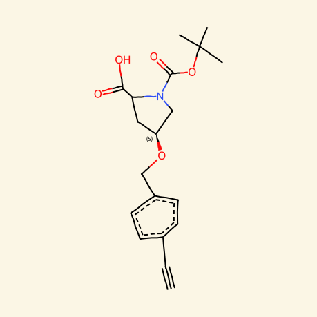 C#Cc1ccc(CO[C@H]2CC(C(=O)O)N(C(=O)OC(C)(C)C)C2)cc1